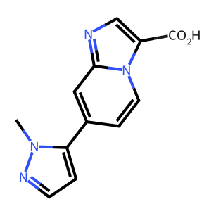 Cn1nccc1-c1ccn2c(C(=O)O)cnc2c1